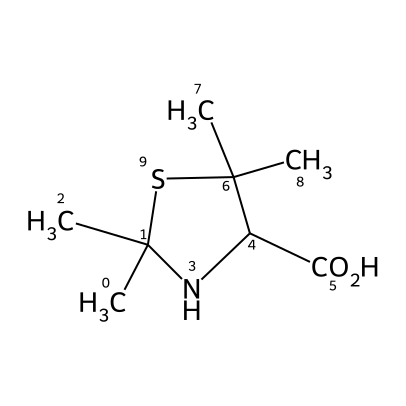 CC1(C)NC(C(=O)O)C(C)(C)S1